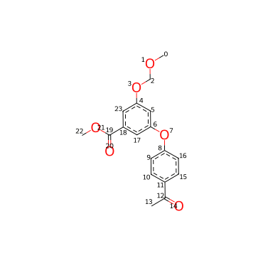 COCOc1cc(Oc2ccc(C(C)=O)cc2)cc(C(=O)OC)c1